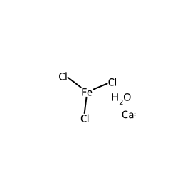 O.[Ca].[Cl][Fe]([Cl])[Cl]